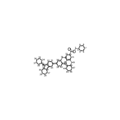 O=C(OCc1ccccc1)c1cc2c3c(c1)Cc1cc(-c4ccc5c(c4)c4ccccc4n5-c4ccccc4)ccc1B3c1ccccc1C2